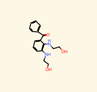 O=C(c1ccccc1)c1cccc(NCCO)c1NCCO